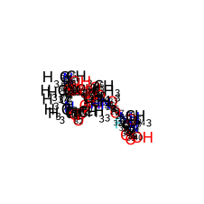 CC[C@H]1OC(=O)[C@H](C)[C@@H](OC2C[C@@](C)(OC)[C@@H](OC(=O)CNC(=O)CCOCCNc3c(F)cc4c(=O)c(C(=O)O)cn(C5CC5)c4c3OC)[C@H](C)O2)[C@H](C)[C@@H](O[C@@H]2O[C@H](C)C[C@H](N(C)C)[C@H]2O)[C@](C)(O)C[C@@H](C)CN(C)[C@H](C)[C@@H]2OC(=O)O[C@]12C